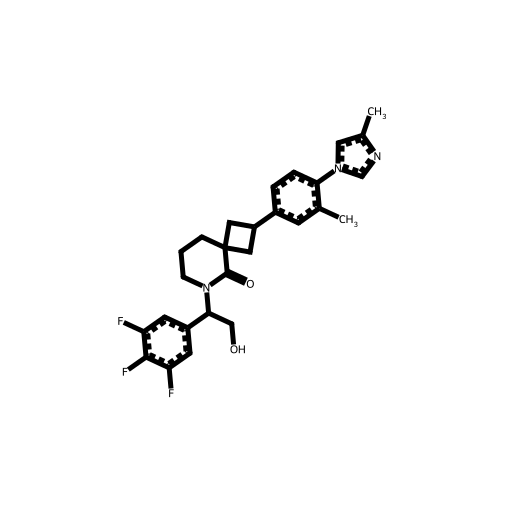 Cc1cn(-c2ccc(C3CC4(CCCN(C(CO)c5cc(F)c(F)c(F)c5)C4=O)C3)cc2C)cn1